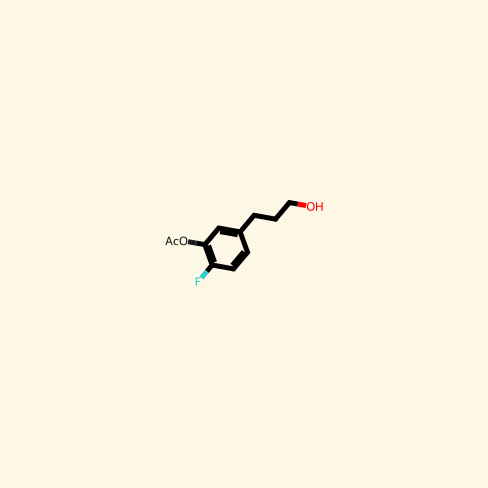 CC(=O)Oc1cc(CCCO)ccc1F